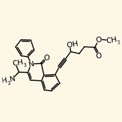 COC(=O)CCC(O)C#Cc1cccc2cc(C(C)N)n(-c3ccccc3)c(=O)c12